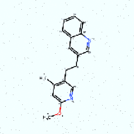 COc1cc(C)c(CCc2cnc3ccccc3c2)cn1